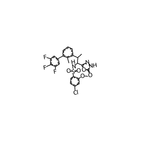 COc1cc(Cl)ccc1S(=O)(=O)NC(c1n[nH]c(=O)o1)C(C)c1cccc(-c2cc(F)c(F)c(F)c2)c1C